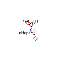 CCCCCCCN(CCc1cccc(OC(C)(CC)C(=O)O)c1)C(=O)CCC1CCCCC1